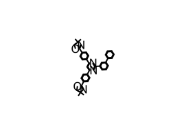 CC1(C)COC(c2ccc(-c3cc(-c4ccc(C5=NC(C)(C)CO5)cc4)nc(-c4cccc(-c5ccccc5)c4)n3)cc2)=N1